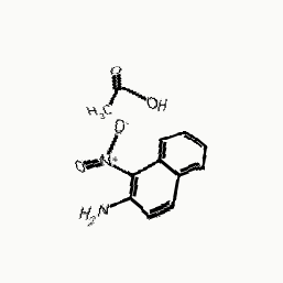 CC(=O)O.Nc1ccc2ccccc2c1[N+](=O)[O-]